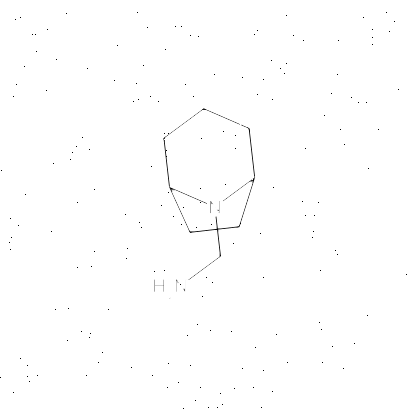 NCN1C2CCCC1CC2